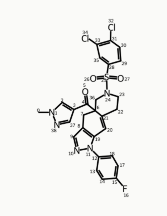 Cn1cc(C(=O)C23Cc4cnn(-c5ccc(F)cc5)c4C=C2CCN(S(=O)(=O)c2ccc(Cl)c(Cl)c2)C3)cn1